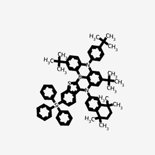 CC(C)(C)c1ccc(N2c3ccc(C(C)(C)C)cc3B3c4sc5cc([Si](c6ccccc6)(c6ccccc6)c6ccccc6)ccc5c4N(c4ccc5c(c4)C(C)(C)CCC5(C)C)c4cc(C(C)(C)C)cc2c43)cc1